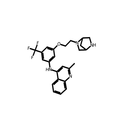 Cc1cc(Nc2cc(OCCN3CC4CC3CN4)cc(C(F)(F)F)c2)c2ccccc2n1